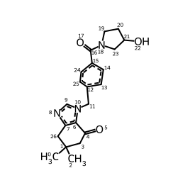 CC1(C)CC(=O)c2c(ncn2Cc2ccc(C(=O)N3CCC(O)C3)cc2)C1